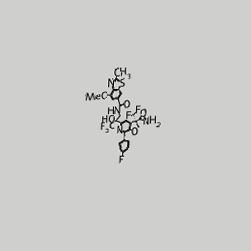 COc1cc(C(=O)NCC(O)(c2cc3c(c(-c4ccc(F)cc4)n2)OC[C@@]3(C(N)=O)C(F)F)C(F)(F)F)cc2sc(C)nc12